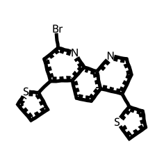 Brc1cc(-c2cccs2)c2ccc3c(-c4cccs4)ccnc3c2n1